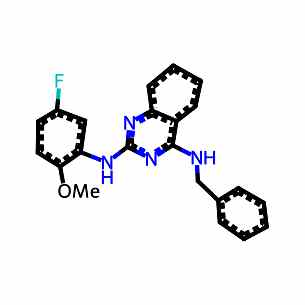 COc1ccc(F)cc1Nc1nc(NCc2ccccc2)c2ccccc2n1